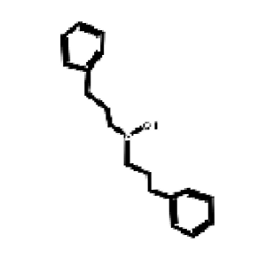 ON(CCCc1ccccc1)CCCc1ccccc1